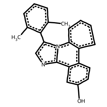 Cc1cccc(C)c1-c1cnc2c3cc(O)ccc3c3ccccc3n12